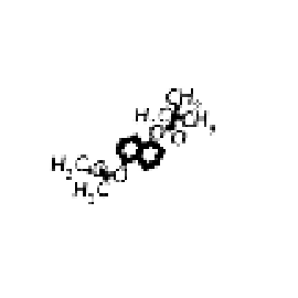 CCOC(C)Oc1cccc2c(OC(=O)C(C)(C)CC)cccc12